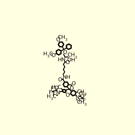 CCN(C(=O)C(F)(F)F)c1cc2c(cc1C)C1(OC(=O)c3cc(C(=O)NCCCCCC(=O)NC(COC(c4ccccc4)(c4ccc(OC)cc4)c4ccc(OC)cc4)C(C)O)ccc31)c1cc(C)c(N(CC)C(=O)C(F)(F)F)cc1O2